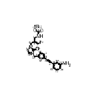 CC(C)(C)OC(=O)NCC(=CF)Cn1ncn(Cc2ccc(C#Cc3cccc(N)c3)s2)c1=O